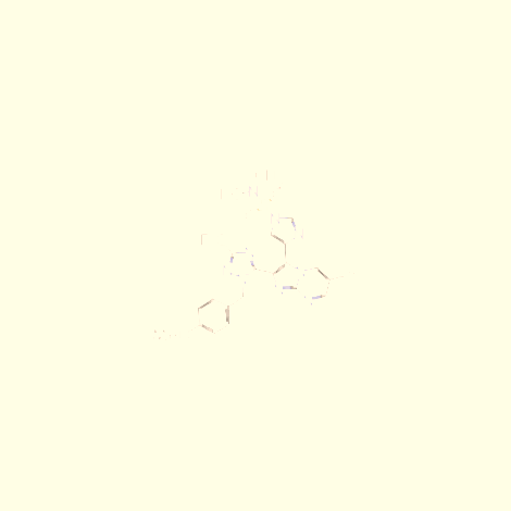 COc1ccc(Cn2nc(C(F)(F)F)nc2-c2nc3ncc(Br)cn3c2-c2cn(S(=O)(=O)N(C)C)cn2)cc1